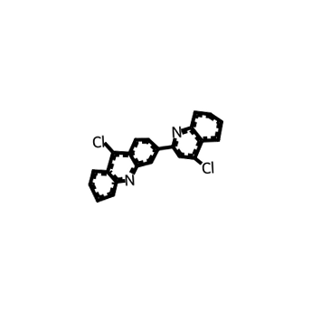 Clc1cc(-c2ccc3c(Cl)c4ccccc4nc3c2)nc2ccccc12